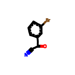 N#CC(=O)c1cccc(Br)c1